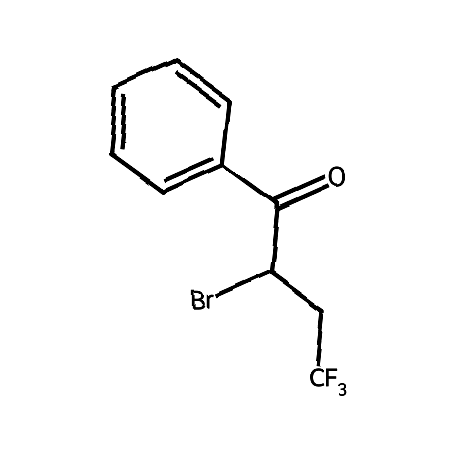 O=C(c1ccccc1)C(Br)CC(F)(F)F